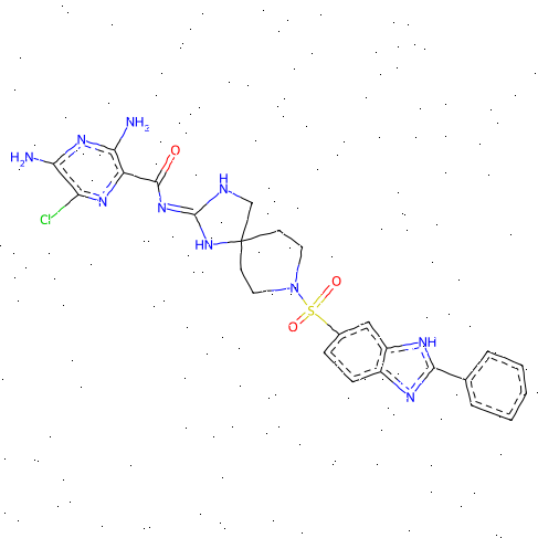 Nc1nc(N)c(C(=O)/N=C2\NCC3(CCN(S(=O)(=O)c4ccc5nc(-c6ccccc6)[nH]c5c4)CC3)N2)nc1Cl